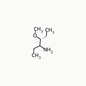 CCC(N)[C@@H](CC)OC